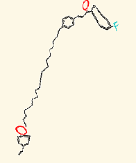 C=Cc1ccc(OCCCCCCCCCCCCCCCCCCc2ccc(C=CC(=O)c3ccc(F)cc3)cc2)cc1